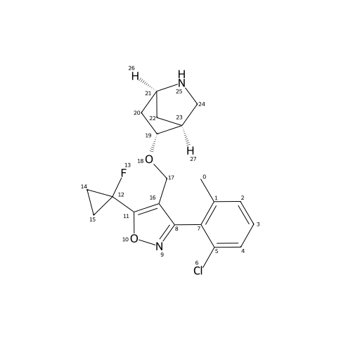 Cc1cccc(Cl)c1-c1noc(C2(F)CC2)c1CO[C@@H]1C[C@@H]2C[C@H]1CN2